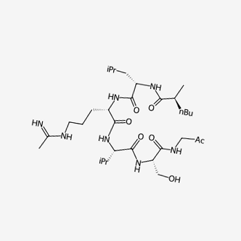 CCCC[C@H](C)C(=O)N[C@@H](CC(C)C)C(=O)N[C@@H](CCCNC(C)=N)C(=O)N[C@H](C(=O)N[C@@H](CO)C(=O)NCC(C)=O)C(C)C